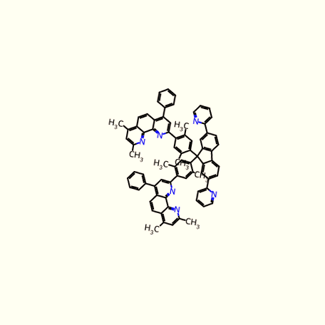 Cc1cc(C)c2ccc3c(-c4ccccc4)cc(-c4cc(C)c(C5(c6cc(C)c(-c7cc(-c8ccccc8)c8ccc9c(C)cc(C)nc9c8n7)cc6C)c6cc(-c7ccccn7)ccc6-c6ccc(-c7ccccn7)cc65)cc4C)nc3c2n1